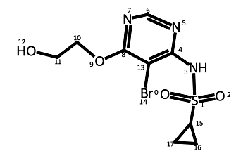 O=S(=O)(Nc1ncnc(OCCO)c1Br)C1CC1